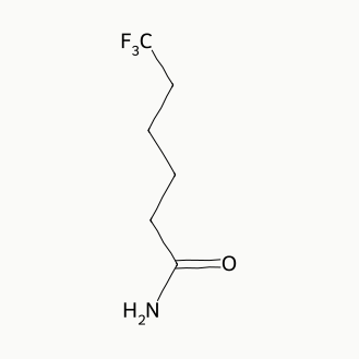 NC(=O)CCCCC(F)(F)F